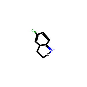 ClC1=CC2CCC[N+]=C2C=C1